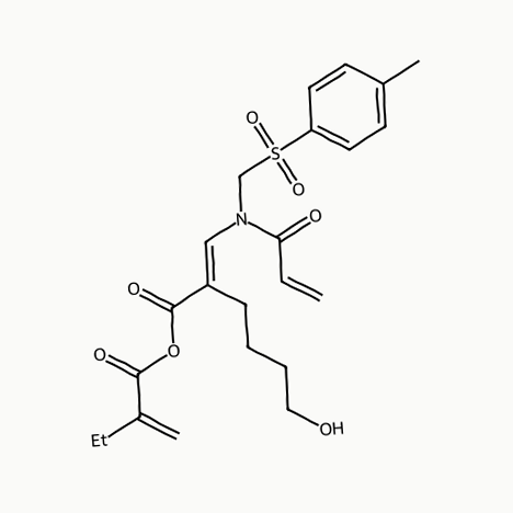 C=CC(=O)N(C=C(CCCCO)C(=O)OC(=O)C(=C)CC)CS(=O)(=O)c1ccc(C)cc1